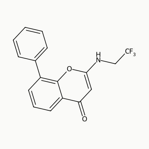 O=c1cc(NCC(F)(F)F)oc2c(-c3ccccc3)cccc12